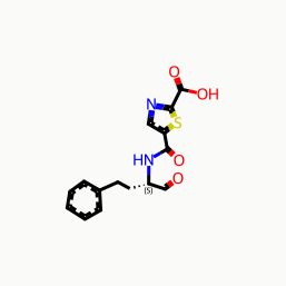 O=C[C@H](CCc1ccccc1)NC(=O)c1cnc(C(=O)O)s1